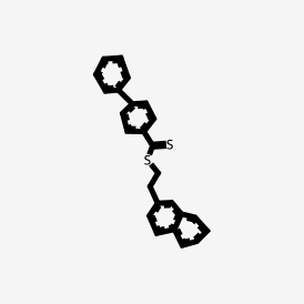 S=C(SCCc1ccc2ccccc2c1)c1ccc(-c2ccccc2)cc1